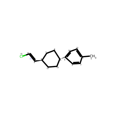 Cc1ccc([C@H]2CC[C@H](/C=C/Cl)CC2)cc1